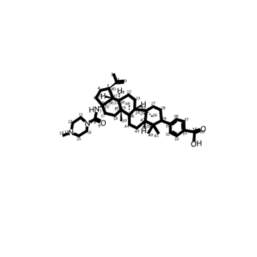 C=C(C)[C@@H]1CC[C@]2(NC(=O)N3CCN(C)CC3)CC[C@]3(C)[C@H](CC[C@@H]4[C@@]5(C)CCC(c6ccc(C(=O)O)cc6)C(C)(C)[C@@H]5CC[C@]43C)[C@@H]12